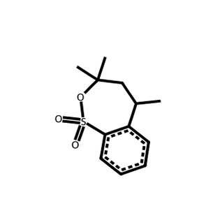 CC1CC(C)(C)OS(=O)(=O)c2ccccc21